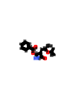 C[SiH](C)O[C@H](C[C@H]1C(=O)N[C@@H]1OC(=O)c1ccccc1)C(C)(C)C